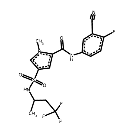 CC(CC(F)(F)F)NS(=O)(=O)c1cc(C(=O)Nc2ccc(F)c(C#N)c2)n(C)c1